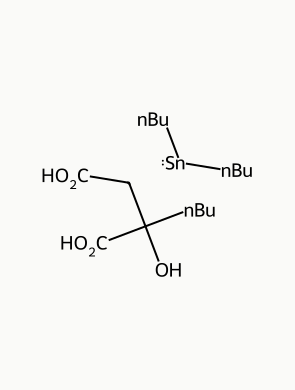 CCCCC(O)(CC(=O)O)C(=O)O.CCC[CH2][Sn][CH2]CCC